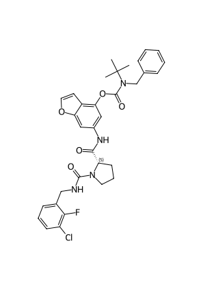 CC(C)(C)N(Cc1ccccc1)C(=O)Oc1cc(NC(=O)[C@@H]2CCCN2C(=O)NCc2cccc(Cl)c2F)cc2occc12